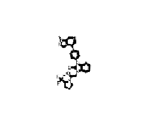 Cn1ncc2c(-c3ccc(-n4c(=O)n(CC(=O)N5CCCC5C(F)(F)F)c5ccccc54)cc3)cncc21